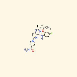 CC(C)Oc1cc(F)ccc1Nc1ncnc2ccc(N3CCC(C(N)=O)CC3)nc12